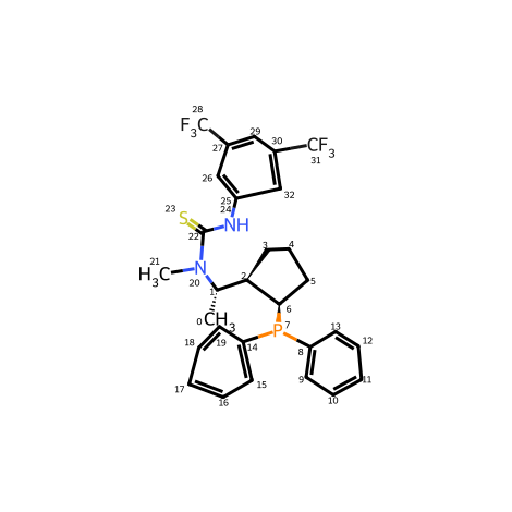 C[C@@H]([C@H]1CCC[C@H]1P(c1ccccc1)c1ccccc1)N(C)C(=S)Nc1cc(C(F)(F)F)cc(C(F)(F)F)c1